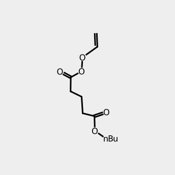 C=COOC(=O)CCCC(=O)OCCCC